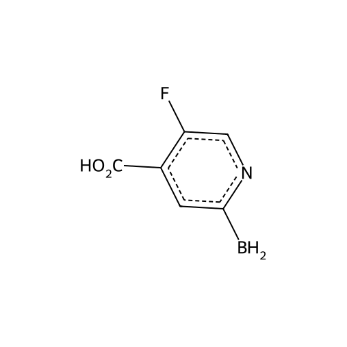 Bc1cc(C(=O)O)c(F)cn1